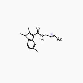 CC(=O)/C=C/CNC(=O)C1=C(C)C(C)c2ccc(C)cc21